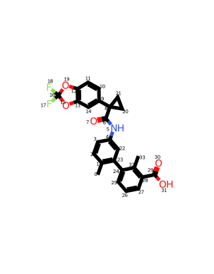 Cc1ccc(NC(=O)C2(c3ccc4c(c3)OC(F)(F)O4)CC2)cc1-c1cccc(C(=O)O)c1C